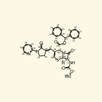 CC(C)(C)OC(=O)N[C@@H]1C(=O)N2[C@@H](C(=O)OC(c3ccccc3)c3ccccc3)C(/C=C3\CCN(c4ccccn4)C3=O)=CS[C@H]12